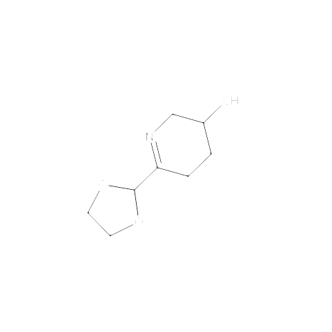 CC1CCC(C2OCCO2)=NC1